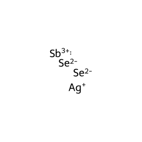 [Ag+].[Sb+3].[Se-2].[Se-2]